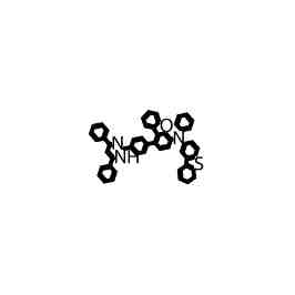 C1=Cc2c(sc3ccc(N(c4ccccc4)c4ccc(-c5ccc(C6N=C(c7ccccc7)C=C(c7ccccc7)N6)cc5)c5c4oc4ccccc45)cc23)CC1